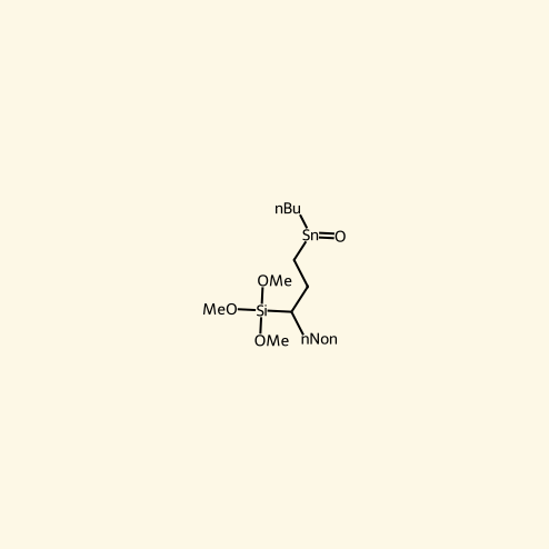 CCCCCCCCCC(C[CH2][Sn](=[O])[CH2]CCC)[Si](OC)(OC)OC